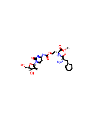 C=C1[C@H](n2ccc(NC(=O)OCC[C@@H](NC(=O)[C@@H](N)CC3CCCCC3)C(=O)OC(C)C)nc2=O)O[C@H](CO)[C@H]1O